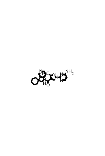 Nc1ccnc(-n2cc(C(=O)NCC3(c4cccnc4)CCCCC3)c(C(F)(F)F)n2)n1